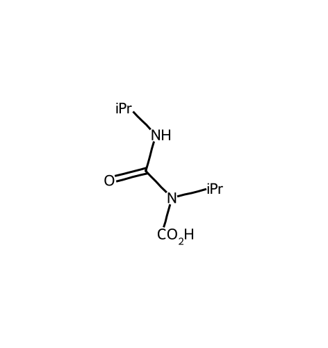 CC(C)NC(=O)N(C(=O)O)C(C)C